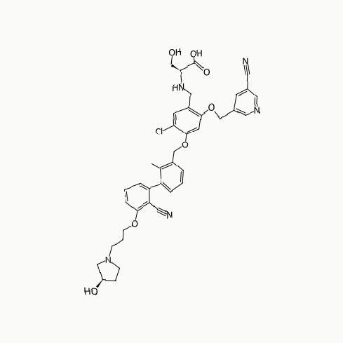 Cc1c(COc2cc(OCc3cncc(C#N)c3)c(CN[C@@H](CO)C(=O)O)cc2Cl)cccc1-c1cccc(OCCCN2CC[C@@H](O)C2)c1C#N